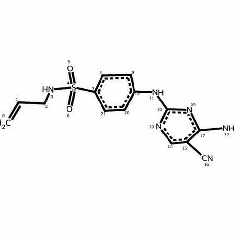 C=CCNS(=O)(=O)c1ccc(Nc2ncc(C#N)c(N)n2)cc1